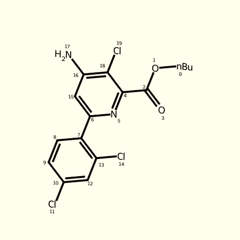 CCCCOC(=O)c1nc(-c2ccc(Cl)cc2Cl)cc(N)c1Cl